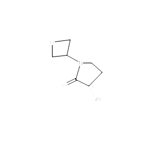 CC(C)[C@H]1CCN(C2COC2)C1=O